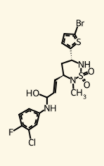 CN1[C@@H](/C=C/C(O)Nc2ccc(F)c(Cl)c2)C[C@H](c2ccc(Br)s2)NS1(=O)=O